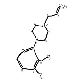 C=CCN1CCN(c2cccc(F)c2Cl)CC1